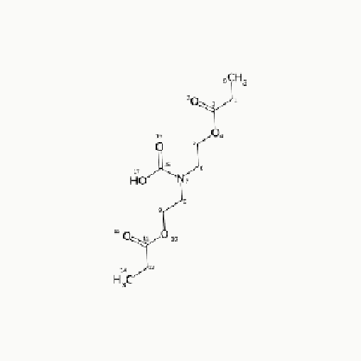 CCC(=O)OCCN(CCOC(=O)CC)C(=O)O